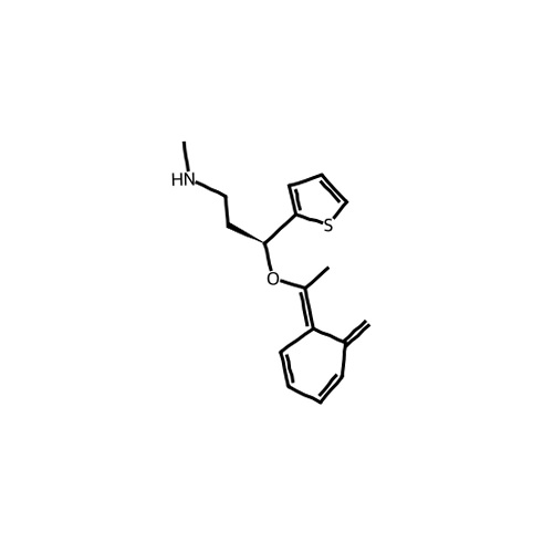 C=c1cccc/c1=C(/C)O[C@@H](CCNC)c1cccs1